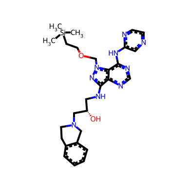 C[Si](C)(C)CCOCn1nc(NC[C@H](O)CN2CCc3ccccc3C2)c2ncnc(Nc3cnccn3)c21